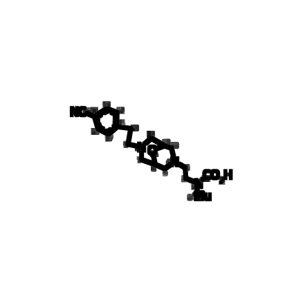 CC(C)(C)N(CCN1CC2CN(CCc3ccc(C#N)cc3)CC(C1)O2)C(=O)O